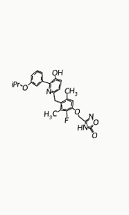 Cc1cc(OCc2noc(=O)[nH]2)c(F)c(C)c1Cc1ccc(O)c(-c2cccc(OC(C)C)c2)n1